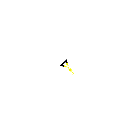 S=S1CC1